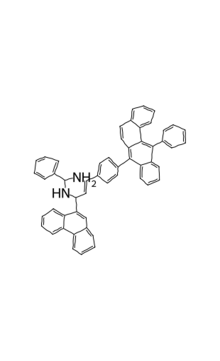 NC(NC(/C=C/c1ccc(-c2c3ccccc3c(-c3ccccc3)c3c2ccc2ccccc23)cc1)c1cc2ccccc2c2ccccc12)c1ccccc1